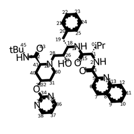 CC(C)[C@H](NC(=O)c1ccc2ccccc2n1)C(=O)N[C@@H](Cc1ccccc1)[C@H](O)CN1CC[C@@H](Oc2ncccn2)C[C@H]1C(=O)NC(C)(C)C